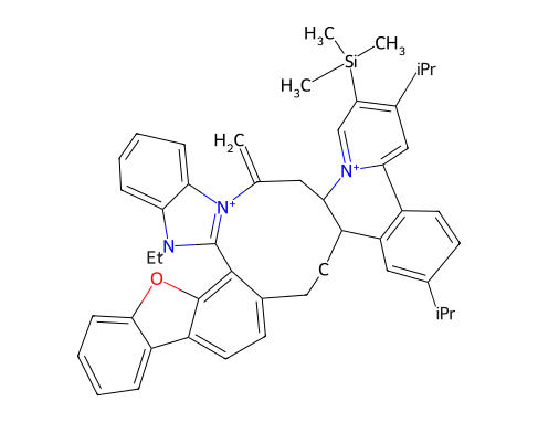 C=C1CC2C(CCc3ccc4c(oc5ccccc54)c3-c3n(CC)c4ccccc4[n+]31)c1cc(C(C)C)ccc1-c1cc(C(C)C)c([Si](C)(C)C)c[n+]12